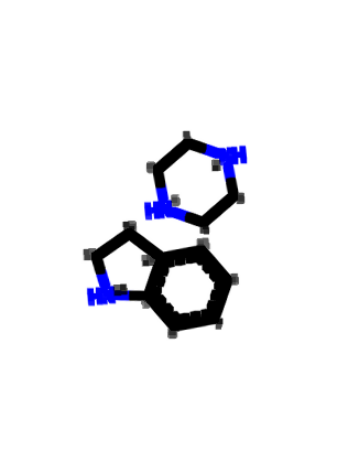 C1CNCCN1.c1ccc2c(c1)CCN2